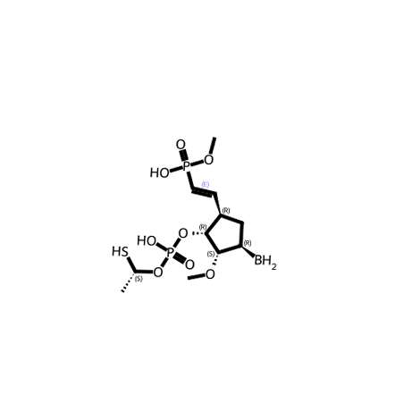 B[C@@H]1C[C@H](/C=C/P(=O)(O)OC)[C@@H](OP(=O)(O)O[C@H](C)S)[C@H]1OC